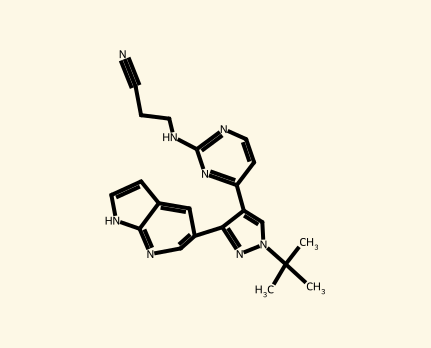 CC(C)(C)n1cc(-c2ccnc(NCCC#N)n2)c(-c2cnc3[nH]ccc3c2)n1